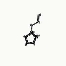 C=CCn1c[c]cn1